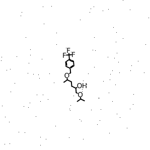 CC(C)OCC(O)CCC(C)OCc1ccc(C(F)(F)F)cc1